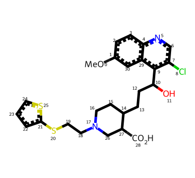 COc1ccc2ncc(Cl)c(C(O)CCC3CCN(CCSc4cccs4)CC3C(=O)O)c2c1